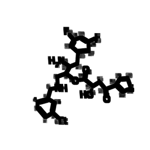 CCc1cccc(CNCC(OC(=O)[C@@H](O)CC(=O)c2ccsc2)C(N)Cc2cc(F)cc(F)c2)c1